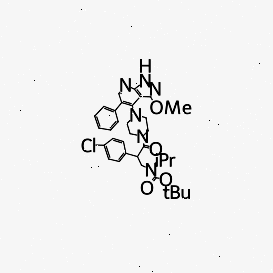 COc1n[nH]c2ncc(-c3ccccc3)c(N3CCN(C(=O)C(CN(C(=O)OC(C)(C)C)C(C)C)c4ccc(Cl)cc4)CC3)c12